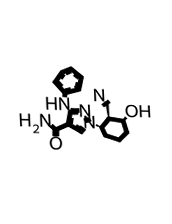 N#C[C@H]1[C@@H](O)CCC[C@@H]1n1cc(C(N)=O)c(Nc2ccccc2)n1